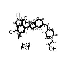 Cl.Cl.O=C1NCc2c(Cl)c(F)cc(-c3cc4cc(CN5CCN(CCO)CC5)ccc4[nH]3)c21